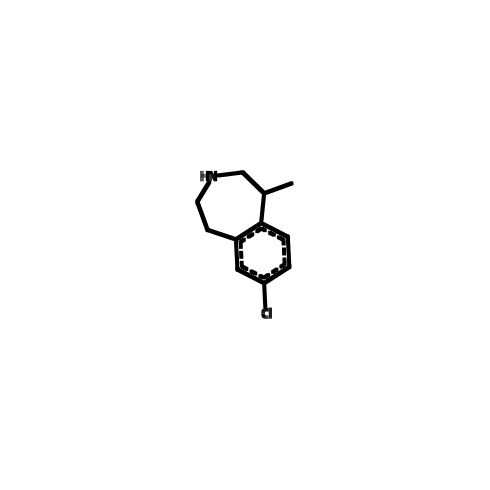 CC1CNCCc2cc(Cl)ccc21